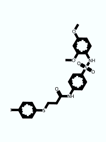 COc1ccc(NS(=O)(=O)c2ccc(NC(=O)CCSc3ccc(I)cc3)cc2)c(OC)c1